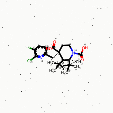 CC(C)(C)C1[C@@](Cc2ccc(F)c(Cl)n2)(C(=O)O)CCN(C(=O)O)[C@@]1(C)C(C)(C)C